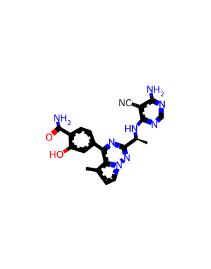 Cc1ccn2nc([C@H](C)Nc3ncnc(N)c3C#N)nc(-c3ccc(C(N)=O)c(O)c3)c12